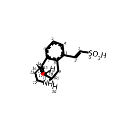 O=S(=O)(O)C=Cc1cccc2c1C[C@H]1NCC[C@@]23CCCC[C@@H]13